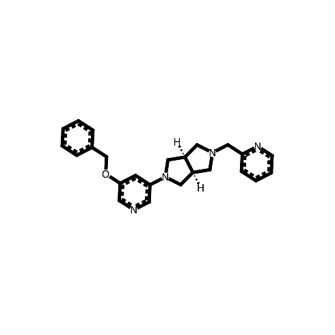 c1ccc(COc2cncc(N3C[C@H]4CN(Cc5ccccn5)C[C@H]4C3)c2)cc1